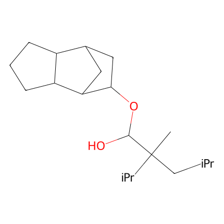 CC(C)CC(C)(C(C)C)C(O)OC1CC2CC1C1CCCC21